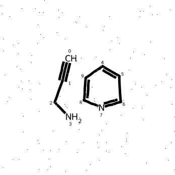 C#CCN.c1ccncc1